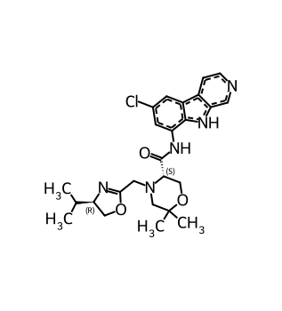 CC(C)[C@@H]1COC(CN2CC(C)(C)OC[C@H]2C(=O)Nc2cc(Cl)cc3c2[nH]c2cnccc23)=N1